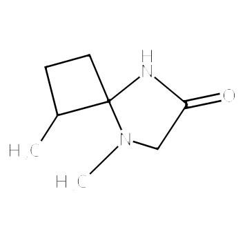 CC1CCC12NC(=O)CN2C